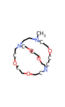 CN1CCOCCN2CCOCCOCCN(CCOCCOCC2)CC1